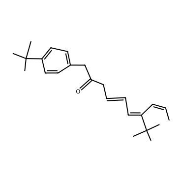 C\C=C/C(=C\C=C\CC(=O)Cc1ccc(C(C)(C)C)cc1)C(C)(C)C